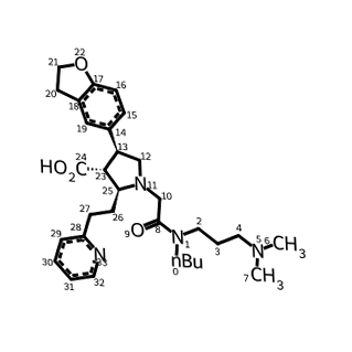 CCCCN(CCCN(C)C)C(=O)CN1C[C@H](c2ccc3c(c2)CCO3)[C@@H](C(=O)O)[C@@H]1CCc1ccccn1